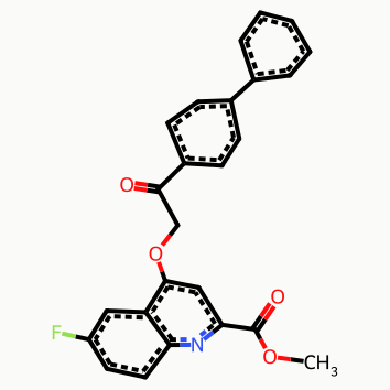 COC(=O)c1cc(OCC(=O)c2ccc(-c3ccccc3)cc2)c2cc(F)ccc2n1